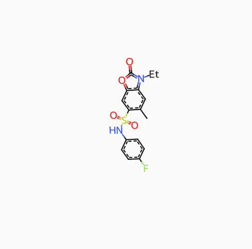 CCn1c(=O)oc2cc(S(=O)(=O)Nc3ccc(F)cc3)c(C)cc21